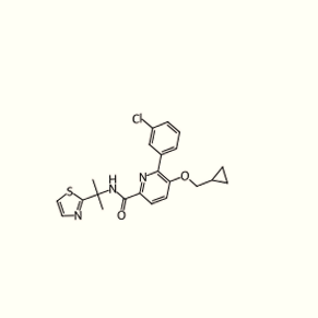 CC(C)(NC(=O)c1ccc(OCC2CC2)c(-c2cccc(Cl)c2)n1)c1nccs1